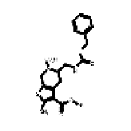 CC(C)(C)OC(=O)c1c(N)sc2c1CC(CNC(=O)OCc1ccccc1)N(C(=O)O)C2